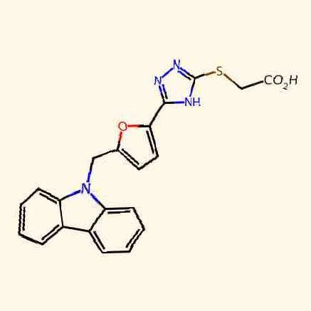 O=C(O)CSc1nnc(-c2ccc(Cn3c4ccccc4c4ccccc43)o2)[nH]1